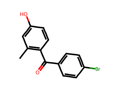 Cc1cc(O)ccc1C(=O)c1ccc(Br)cc1